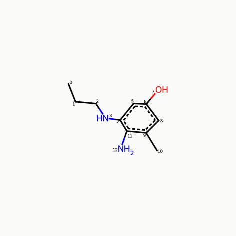 CCCNc1cc(O)cc(C)c1N